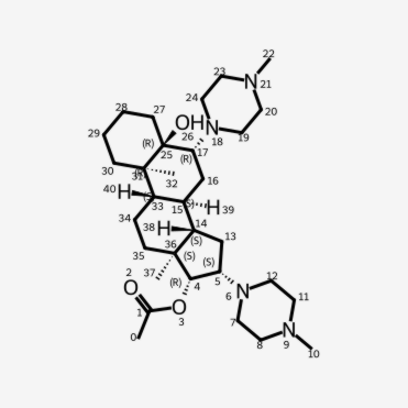 CC(=O)O[C@H]1[C@@H](N2CCN(C)CC2)C[C@H]2[C@@H]3C[C@@H](N4CCN(C)CC4)[C@@]4(O)CCCC[C@]4(C)[C@H]3CC[C@@]21C